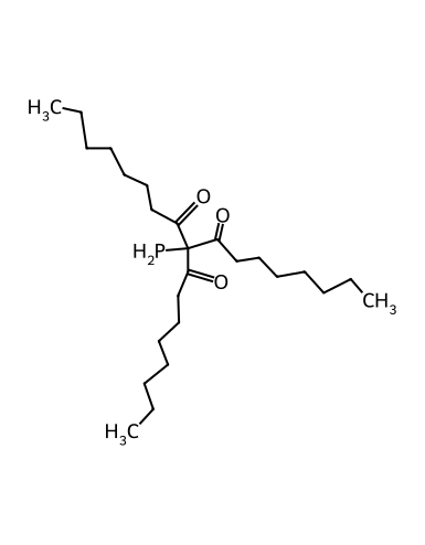 CCCCCCCC(=O)C(P)(C(=O)CCCCCCC)C(=O)CCCCCCC